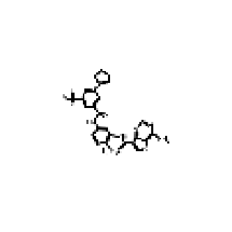 C=C(Nc1cc(NC(=O)c2cc(N3CCCC3)cc(C(F)(F)F)c2)ccc1C)c1csc2c(N)ncnc12